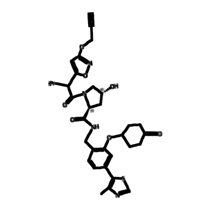 C#CCOc1cc(C(C(=O)N2C[C@H](O)C[C@H]2C(=O)NCc2ccc(-c3scnc3C)cc2OC2CCC(=O)CC2)C(C)C)on1